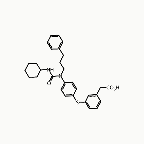 O=C(O)Cc1cccc(Sc2ccc(N(CCCc3ccccc3)C(=O)NC3CCCCC3)cc2)c1